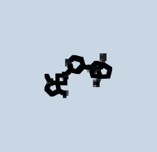 CN1CCC(F)C12CN(c1cc(N3C[C@H]4CC[C@@H](C3)N4)ccn1)C2